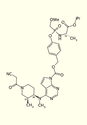 COCP(=O)(N[C@@H](C)C(=O)OC(C)C)Oc1ccc(COC(=O)n2ccc3c(N(C)[C@@H]4CCN(C(=O)CC#N)C[C@@H]4C)ncnc32)cc1